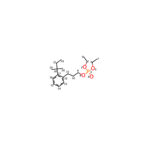 CCOP(=O)(OCC)OCCCc1ccccc1C(C)(C)CC